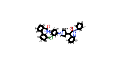 O=C(Nc1ccc(N2CCC(C(C(=O)Nc3ccccc3)c3ccccc3)CC2)cc1)c1ccccc1-c1cccc(Cl)c1